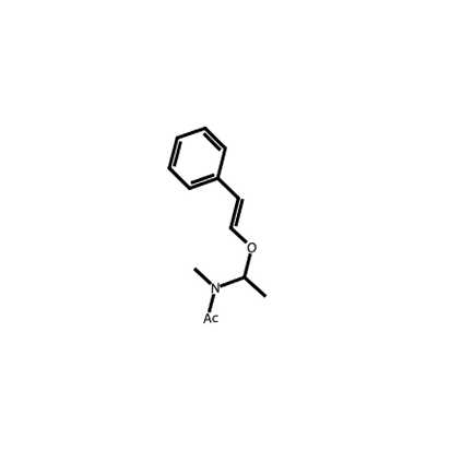 CC(=O)N(C)C(C)OC=Cc1ccccc1